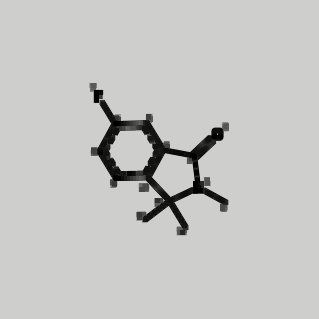 CN1C(=O)c2cc(F)ccc2C1(C)C